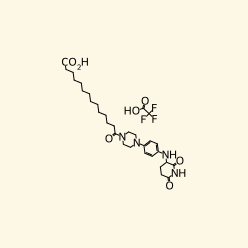 O=C(O)C(F)(F)F.O=C(O)CCCCCCCCCCCCC(=O)N1CCN(c2ccc(NC3CCC(=O)NC3=O)cc2)CC1